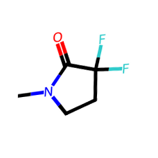 CN1CCC(F)(F)C1=O